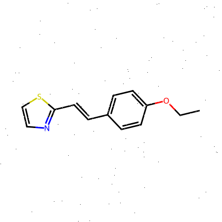 CCOc1ccc(C=Cc2nccs2)cc1